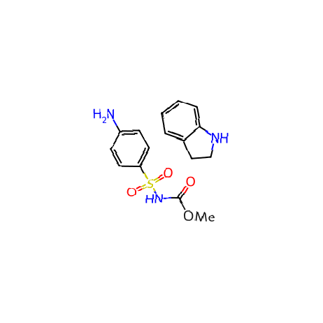 COC(=O)NS(=O)(=O)c1ccc(N)cc1.c1ccc2c(c1)CCN2